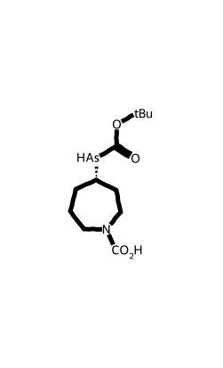 CC(C)(C)OC(=O)[AsH][C@H]1CCCN(C(=O)O)CC1